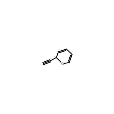 [C]#CC1[C]=CC=CO1